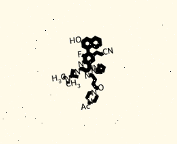 CC(=O)N1CCN(C(=O)CCc2nc3c(N4CC(N(C)C)C4)nc4c(F)c(-c5cc(O)cc6ccccc56)c(CCC#N)cc4c3n2C2C3CNC2C3)CC1